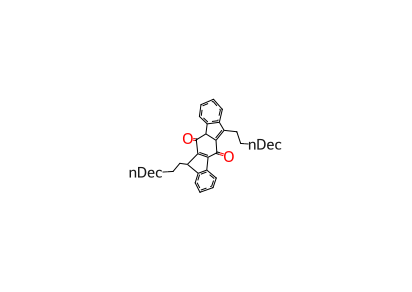 CCCCCCCCCCCCC1=C2C(=O)C3=C(C(=O)C2c2ccccc21)C(CCCCCCCCCCCC)c1ccccc13